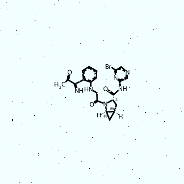 CC(=O)C(=N)c1ccccc1NCC(=O)N1[C@@H]2C[C@@H]2C[C@H]1C(=O)Nc1cncc(Br)n1